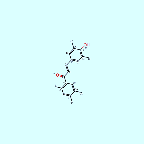 Cc1cc(C)c(C(=O)C=Cc2cc(C)c(O)c(C)c2)cc1C